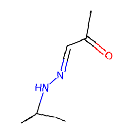 CC(=O)C=NNC(C)C